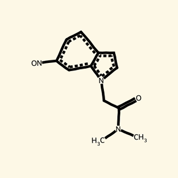 CN(C)C(=O)Cn1ccc2ccc(N=O)cc21